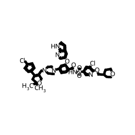 CC1(C)CC(c2ccc(Cl)cc2)=C(CN2CCN(c3ccc(C(=O)NS(=O)(=O)c4cnc(OCC5CCOCC5)c(Cl)c4)c(Oc4cnc5[nH]ccc5c4)c3)CC2)CO1